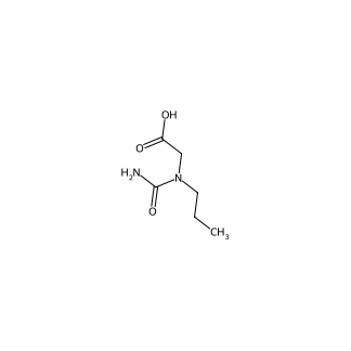 CCCN(CC(=O)O)C(N)=O